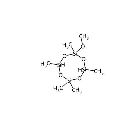 CO[Si]1(C)O[SiH](C)O[Si](C)(C)O[SiH](C)O1